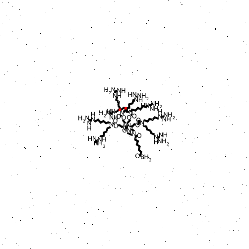 BC(=O)CCCCCCC(=O)N1CCN(P(=O)(N(CCOC(=O)N(CCCCCCNC(=N)N)CCCCCCNC(=N)N)CCOC(=O)N(CCCCCCNC(=N)N)CCCCCCNC(=N)N)N(CCOC(=O)N(CCCCCCNC(=N)N)CCCCCCNC(=N)N)CCOC(=O)N(CCCCCCNC(=N)N)CCCCCCNC(=N)N)CC1